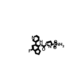 NS(=O)(=O)c1ccn(C(=O)Nc2c(-c3cccnc3)cc(F)c3c2CCC3)n1